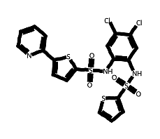 O=S(=O)(Nc1cc(Cl)c(Cl)cc1NS(=O)(=O)c1ccc(-c2ccccn2)s1)c1cccs1